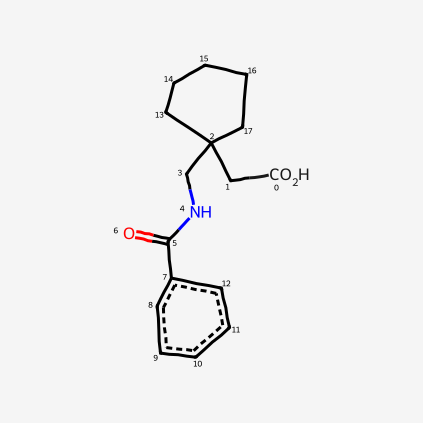 O=C(O)CC1(CNC(=O)c2ccccc2)CCCCC1